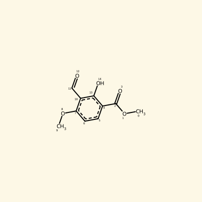 COC(=O)c1ccc(OC)c(C=O)c1O